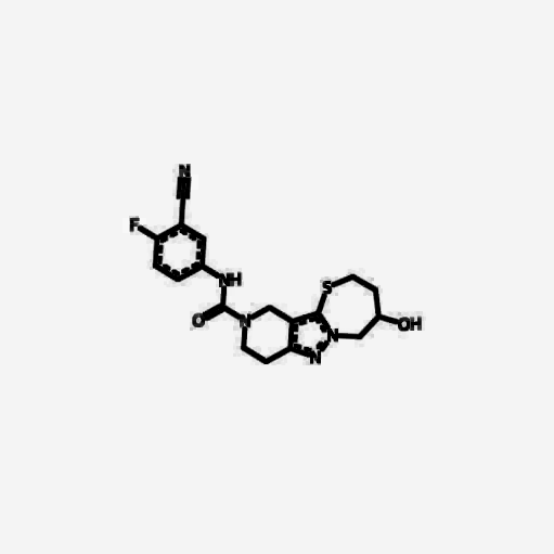 N#Cc1cc(NC(=O)N2CCc3nn4c(c3C2)SCCC(O)C4)ccc1F